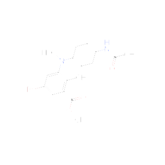 COC(=O)c1cc(Br)cc(N(C)C2CCC(NC(C)=O)CC2)c1C